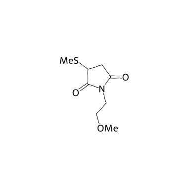 COCCN1C(=O)CC(SC)C1=O